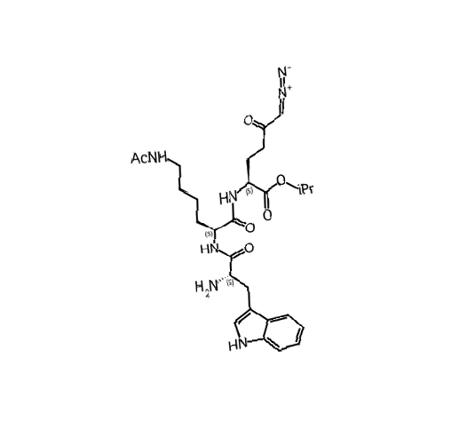 CC(=O)NCCCC[C@H](NC(=O)[C@@H](N)Cc1c[nH]c2ccccc12)C(=O)N[C@@H](CCC(=O)C=[N+]=[N-])C(=O)OC(C)C